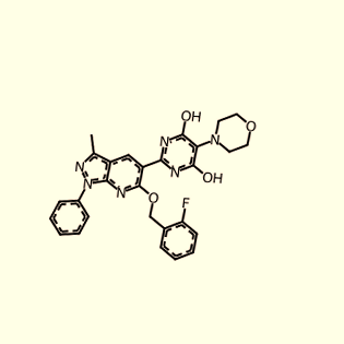 Cc1nn(-c2ccccc2)c2nc(OCc3ccccc3F)c(-c3nc(O)c(N4CCOCC4)c(O)n3)cc12